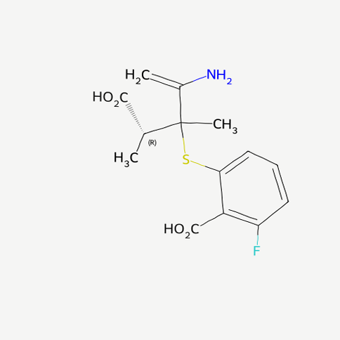 C=C(N)C(C)(Sc1cccc(F)c1C(=O)O)[C@H](C)C(=O)O